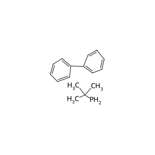 CC(C)(C)P.c1ccc(-c2ccccc2)cc1